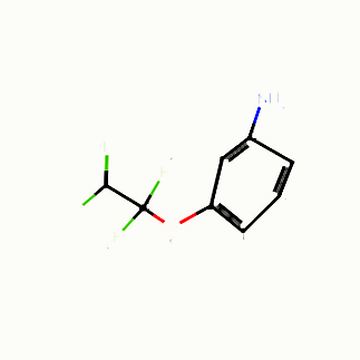 Nc1cccc(OC(F)(F)C(F)F)c1